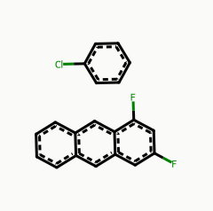 Clc1ccccc1.Fc1cc(F)c2cc3ccccc3cc2c1